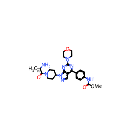 COC(=O)Nc1ccc(-c2nc(N3CCOCC3)nc3c2cnn3C2CCN(C(=O)[C@H](C)N)CC2)cc1